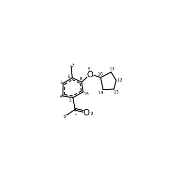 CC(=O)c1ccc(C)c(OC2CCCC2)c1